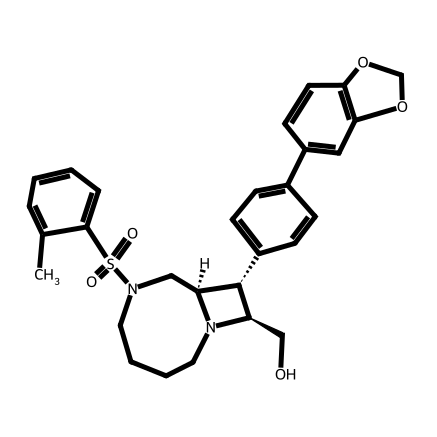 Cc1ccccc1S(=O)(=O)N1CCCCN2[C@H](CO)[C@@H](c3ccc(-c4ccc5c(c4)OCO5)cc3)[C@@H]2C1